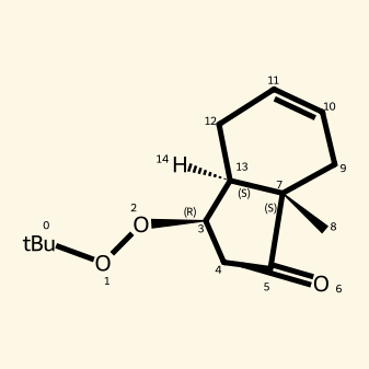 CC(C)(C)OO[C@@H]1CC(=O)[C@@]2(C)CC=CC[C@H]12